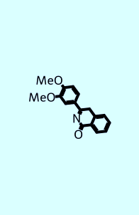 COc1ccc(C2=NC(=O)c3ccccc3C2)cc1OC